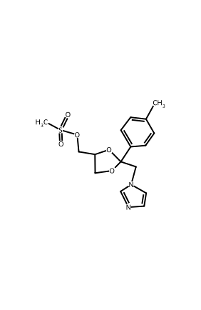 Cc1ccc(C2(Cn3ccnc3)OCC(COS(C)(=O)=O)O2)cc1